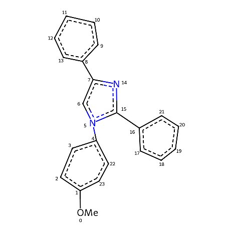 COc1ccc(-n2cc(-c3ccccc3)nc2-c2ccccc2)cc1